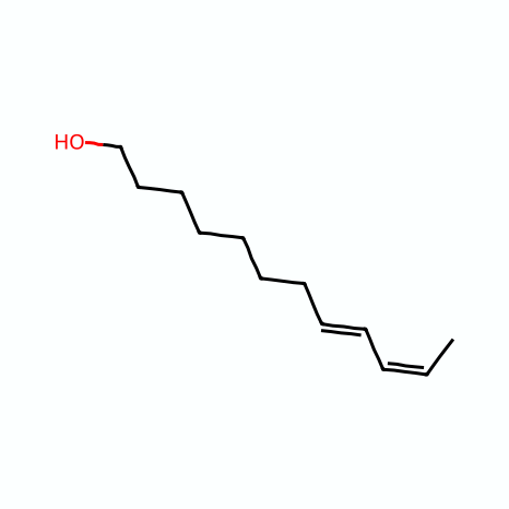 C/C=C\C=C\CCCCCCCO